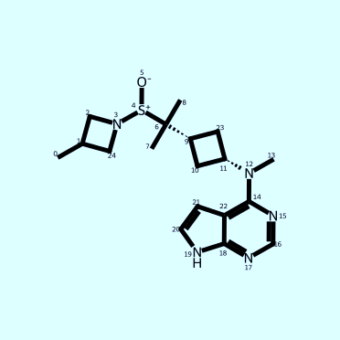 CC1CN([S+]([O-])C(C)(C)[C@H]2C[C@@H](N(C)c3ncnc4[nH]ccc34)C2)C1